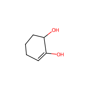 OC1=CCCCC1O